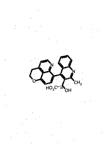 Cc1nc2ccccc2c(-c2ccc3c4c(ccnc24)CCO3)c1[C@H](O)C(=O)O